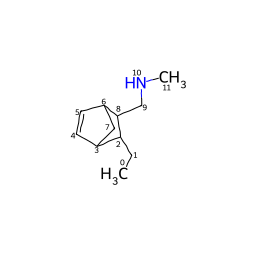 CCC1C2C=CC(C2)C1CNC